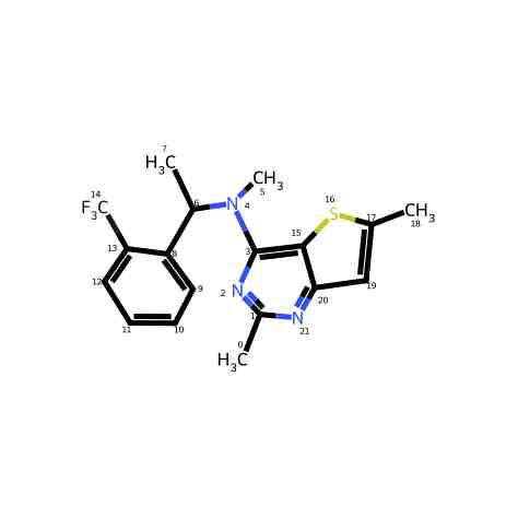 Cc1nc(N(C)C(C)c2ccccc2C(F)(F)F)c2sc(C)cc2n1